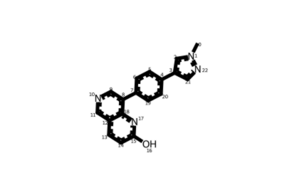 Cn1cc(-c2ccc(-c3cncc4ccc(O)nc34)cc2)cn1